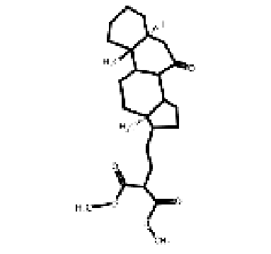 COC(=O)C(CCC1CCC2C3C(=O)C[C@@H]4CCCCC4(C)C3CC[C@]12C)C(=O)OC